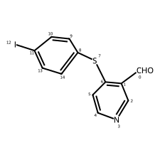 O=Cc1cnccc1Sc1ccc(I)cc1